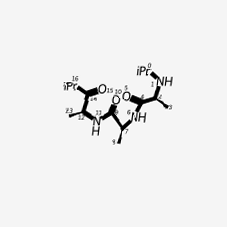 CC(C)N[C@@H](C)C(=O)N[C@@H](C)C(=O)N[C@@H](C)C(=O)C(C)C